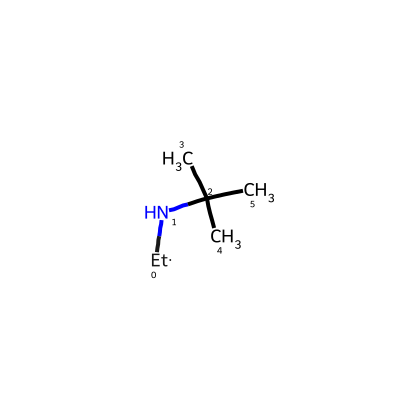 C[CH]NC(C)(C)C